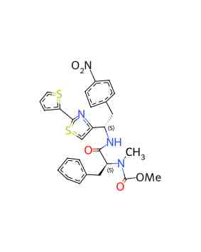 COC(=O)N(C)[C@@H](Cc1ccccc1)C(=O)N[C@@H](Cc1ccc([N+](=O)[O-])cc1)c1csc(-c2cccs2)n1